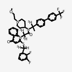 [2H]C([2H])(Sc1cc(=O)c2ccccc2n1C([2H])([2H])C(=O)N(C1CCN(CCOC)CC1)C([2H])(C)c1ccc(-c2ccc(C(F)(F)F)cc2)cc1)c1cccc(F)c1F